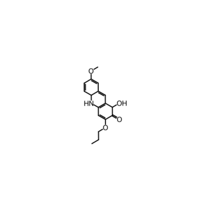 CCCOC1=CC2=C(C=C3C=C(OC)C=CC3N2)C(O)C1=O